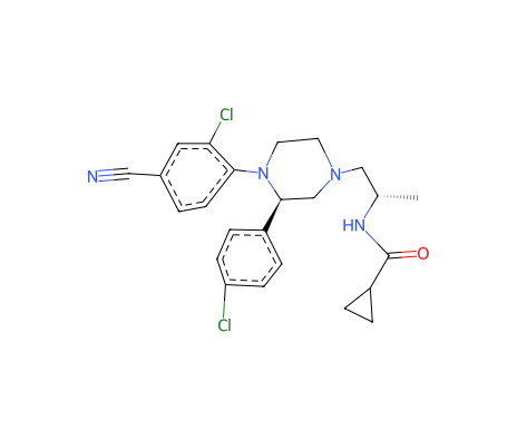 C[C@@H](CN1CCN(c2ccc(C#N)cc2Cl)[C@H](c2ccc(Cl)cc2)C1)NC(=O)C1CC1